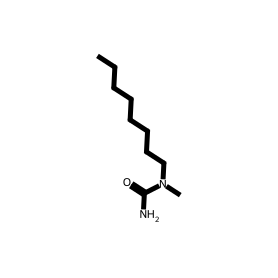 CCCCCCCCN(C)C(N)=O